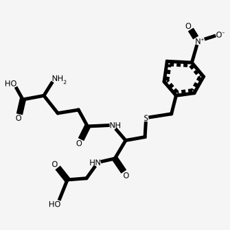 NC(CCC(=O)NC(CSCc1ccc([N+](=O)[O-])cc1)C(=O)NCC(=O)O)C(=O)O